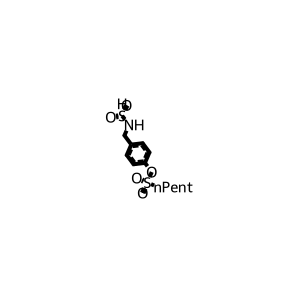 CCCCCS(=O)(=O)Oc1ccc(CN[SH](=O)=O)cc1